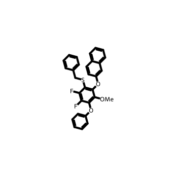 COc1c(Oc2ccccc2)c(F)c(F)c(SCc2ccccc2)c1Oc1ccc2ccccc2c1